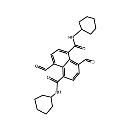 O=Cc1ccc(C(=O)NC2CCCCC2)c2c(C=O)ccc(C(=O)NC3CCCCC3)c12